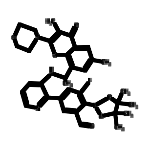 Cc1cc(C(C)Nc2cccnc2-c2cc(F)c(B3OC(C)(C)C(C)(C)O3)c(C=O)c2)c2oc(N3CCOCC3)c(C)c(=O)c2c1